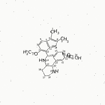 COc1ccc2c(C)c(C)sc2c1CNC1CCCNC1c1ccccc1.Cl.Cl.O